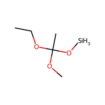 CCOC(C)(OC)O[SiH3]